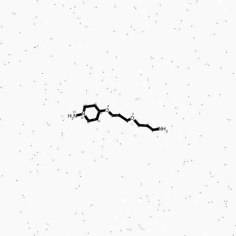 NCCCOCCCOC1CCN(N)CC1